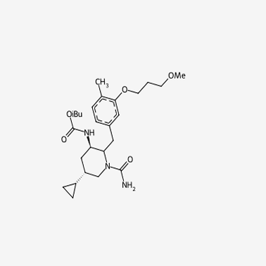 COCCCOc1cc(CC2[C@H](NC(=O)OCC(C)C)C[C@@H](C3CC3)CN2C(N)=O)ccc1C